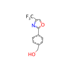 OCc1ccc(-c2nc(C(F)(F)F)co2)cc1